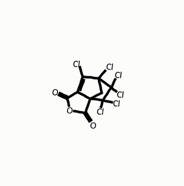 O=C1OC(=O)C23CC(Cl)(C(Cl)=C12)C(Cl)(Cl)C3(Cl)Cl